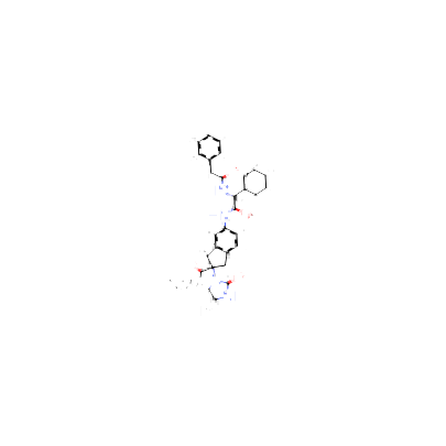 CNC(=O)C1(N2C[C@@H](C(C)C)NC2=O)Cc2ccc(NC(=O)[C@@H](NC(=O)Cc3ccccc3)C3CCCCC3)cc2C1